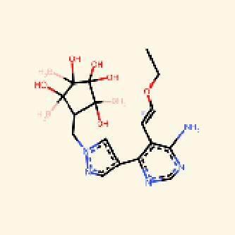 BC1(O)C(Cn2cc(-c3ncnc(N)c3/C=C/OCC)cn2)C(B)(O)C(O)(O)C1(B)O